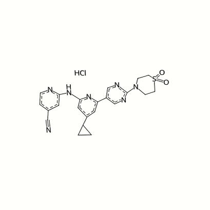 Cl.N#Cc1ccnc(Nc2cc(C3CC3)cc(-c3cnc(N4CCS(=O)(=O)CC4)nc3)n2)c1